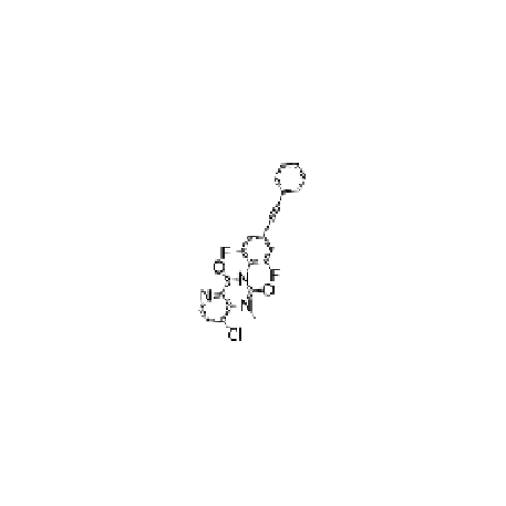 Cn1c(=O)n(-c2c(F)cc(C#Cc3ccccc3)cc2F)c(=O)c2nccc(Cl)c21